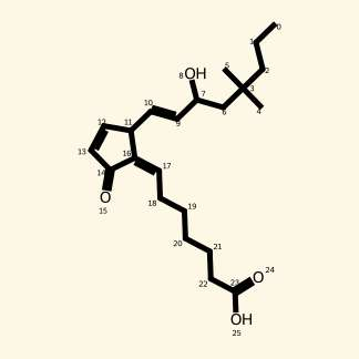 CCCC(C)(C)CC(O)C=CC1C=CC(=O)C1=CCCCCCC(=O)O